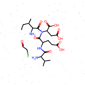 CCC(C)C(N)C(=O)N(C(=O)C(CCC(=O)O)NC(=O)C(N)C(C)C)C(CC(=O)O)C(=O)O.O=CCF